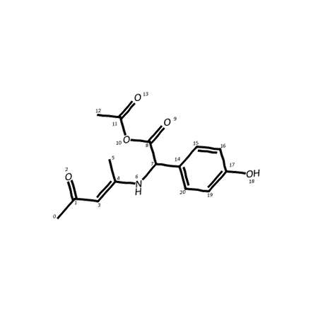 CC(=O)/C=C(\C)NC(C(=O)OC(C)=O)c1ccc(O)cc1